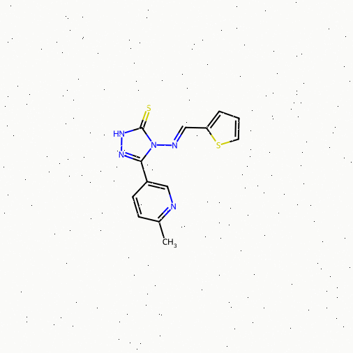 Cc1ccc(-c2n[nH]c(=S)n2N=Cc2cccs2)cn1